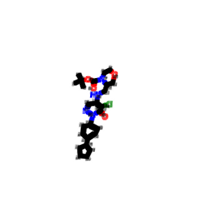 CC(C)(C)OC(=O)N1CCOCC1CNc1cnn(-c2ccc(C3CCCC3)cc2)c(=O)c1Cl